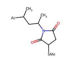 CSC1CC(=O)N(C(C)CC(C)C(C)=O)C1=O